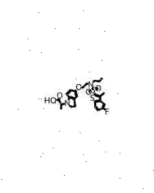 CCCN(CCOc1ccc2c(c1)CCN2C(C)C(=O)O)S(=O)(=O)c1sc2ccc(F)cc2c1C